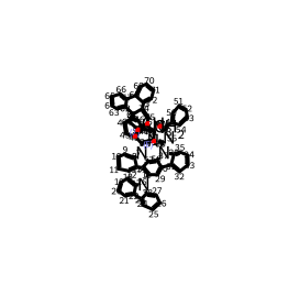 C=C(/C=C(\C=C/C)n1c2ccccc2c2c(-n3c4ccccc4c4ccccc43)cc3c4ccccc4n(-c4nc(-c5ccccc5)nc(-c5ccccc5)n4)c3c21)c1ccc2c3ccccc3c3ccccc3c2c1